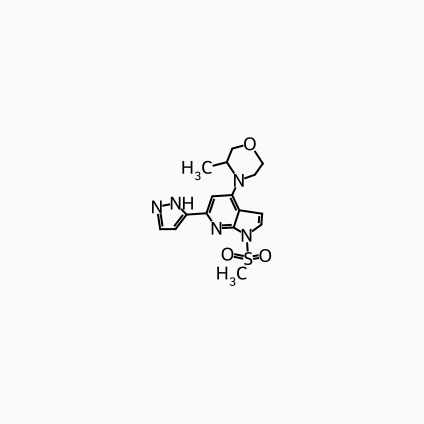 CC1COCCN1c1cc(-c2ccn[nH]2)nc2c1ccn2S(C)(=O)=O